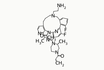 C=CC(=O)N1CCN(c2nc(=O)n3c4nc(c(F)cc24)-c2c(F)cccc2CN(CCN)CCCc2ccnc(C(C)C)c2-3)[C@@H](C)C1